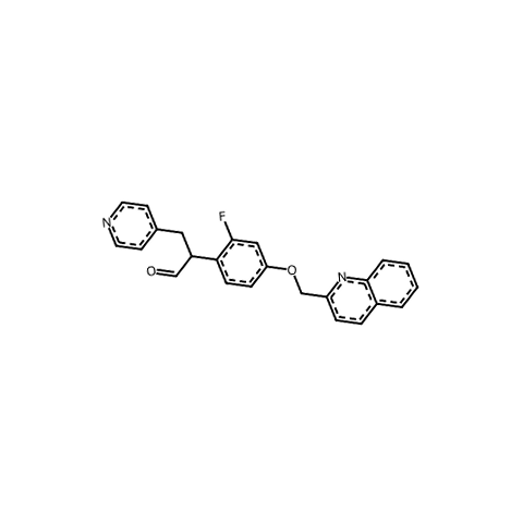 O=CC(Cc1ccncc1)c1ccc(OCc2ccc3ccccc3n2)cc1F